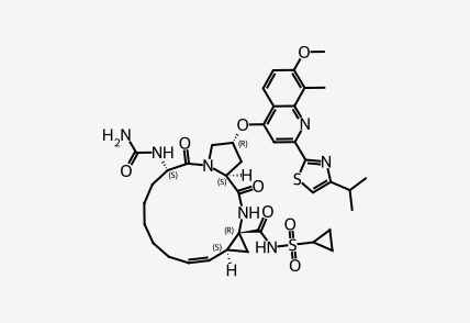 COc1ccc2c(O[C@@H]3C[C@H]4C(=O)N[C@]5(C(=O)NS(=O)(=O)C6CC6)C[C@H]5C=CCCCCC[C@H](NC(N)=O)C(=O)N4C3)cc(-c3nc(C(C)C)cs3)nc2c1C